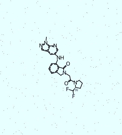 Cn1ncc2cc(Nc3cccc4c3C(=O)N(CC(=O)N3CCC[C@H]3C(F)F)C4)cnc21